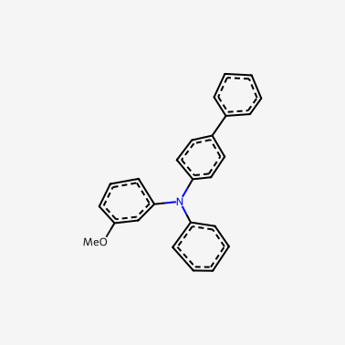 COc1cccc(N(c2ccccc2)c2ccc(-c3ccccc3)cc2)c1